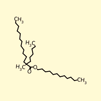 CCCCCCCCCCCCOC(=O)C(C)(CCCCCC)CCCCCCCCCCCC